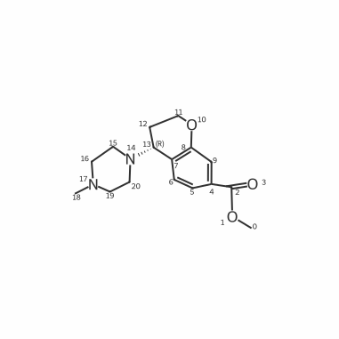 COC(=O)c1ccc2c(c1)OCC[C@H]2N1CCN(C)CC1